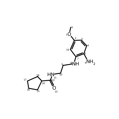 COc1ccc(N)c(NCCNC(=O)C2CCCC2)c1